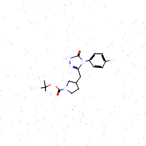 CC(C)(C)OC(=O)N1CCC(Cc2n[nH]c(=O)n2-c2ccc(Br)cc2)C1